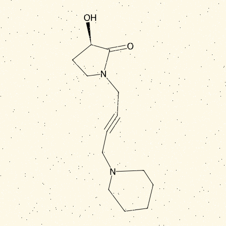 O=C1[C@H](O)CCN1CC#CCN1CCCCC1